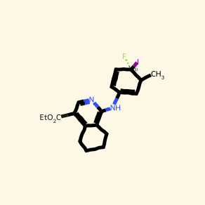 CCOC(=O)c1cnc(NC2=CC(C)[C@](F)(I)C=C2)c2c1CCCC2